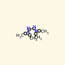 Cc1ccc2c(c1)c1cc(C)ccc1n2-c1cncc(-c2cncc(-n3c4ccc(C)cc4c4cc(C)ccc43)c2)c1